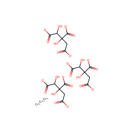 O=C([O-])CC(O)(C(=O)[O-])C(O)C(=O)[O-].O=C([O-])CC(O)(C(=O)[O-])C(O)C(=O)[O-].O=C([O-])CC(O)(C(=O)[O-])C(O)C(=O)[O-].[Cr+3].[Cr+3].[Cr+3]